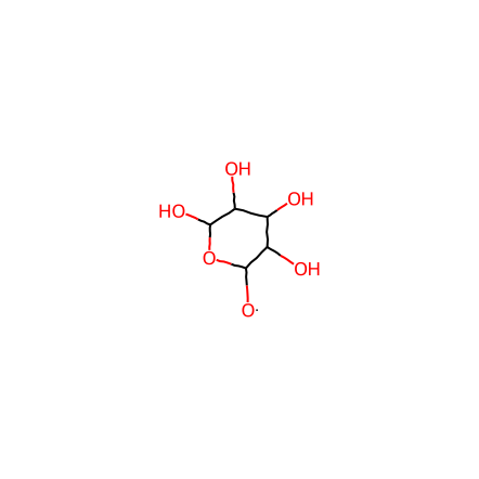 [O]C1OC(O)C(O)C(O)C1O